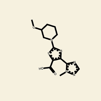 COC1CCCN(c2nc(-c3ncnn3C)c(C(=O)O)s2)C1